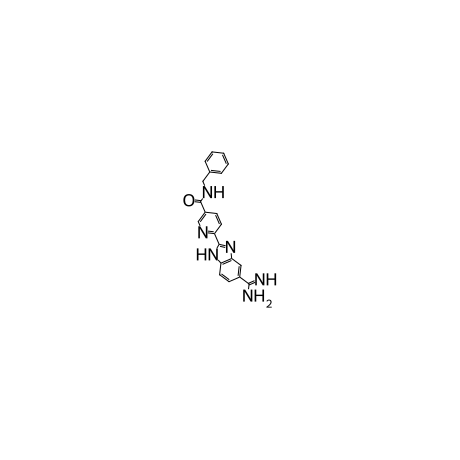 N=C(N)c1ccc2[nH]c(-c3ccc(C(=O)NCc4ccccc4)cn3)nc2c1